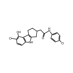 O=C(CN1CCc2c([nH]c3ccc(Cl)c(O)c23)C1)Nc1ccc(Cl)cc1